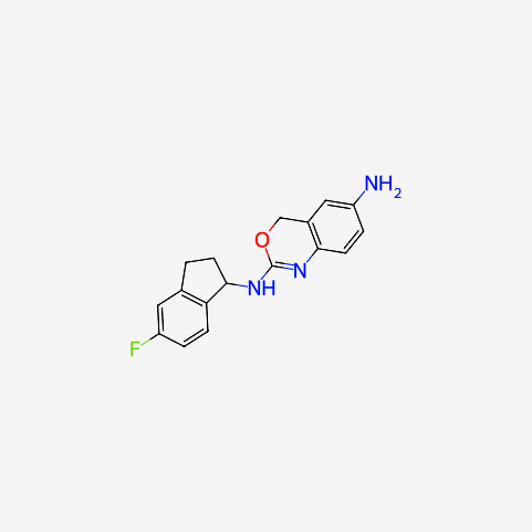 Nc1ccc2c(c1)COC(NC1CCc3cc(F)ccc31)=N2